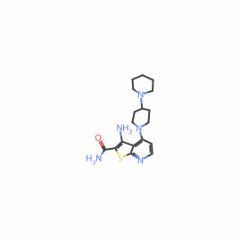 NC(=O)c1sc2nccc(N3CCC(N4CCCCC4)CC3)c2c1N